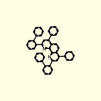 c1ccc(-c2ccccc2-c2cc(-c3ccccc3)c3ccc4c(-c5ccccc5)cc(-c5ccccc5-c5ccccc5)nc4c3n2)cc1